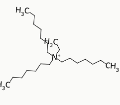 CCCCCCC[N+](CC)(CCCCCCC)CCCCCCC